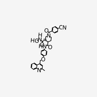 Cc1cc(COc2ccc(NC(=O)C3CCN(C(=O)c4ccc(C#N)cc4)C[C@@H]3C(=O)NO)cc2)c2ccccc2n1